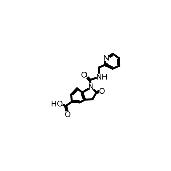 O=C(O)c1ccc2c(c1)CC(=O)N2C(=O)NCc1ccccn1